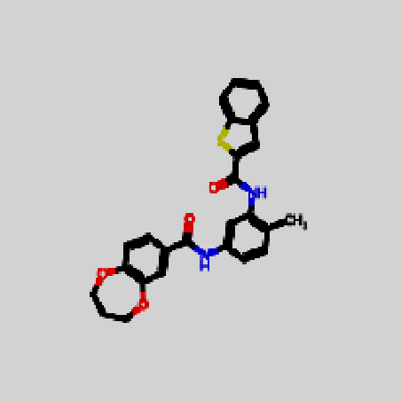 Cc1ccc(NC(=O)c2ccc3c(c2)OCCCO3)cc1NC(=O)c1cc2ccccc2s1